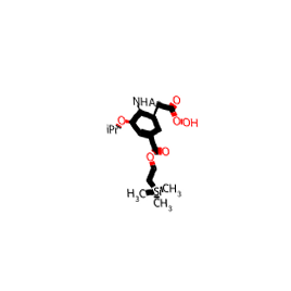 CC(=O)N[C@@H]1[C@@H](CC(=O)OO)CC(C(=O)OCC[Si](C)(C)C)=C[C@H]1OC(C)C